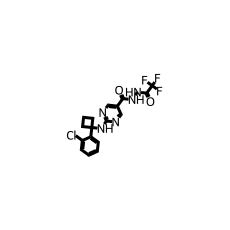 O=C(NNC(=O)C(F)(F)F)c1cnc(NC2(c3ccccc3Cl)CCC2)nc1